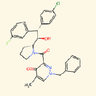 Cc1cn(Cc2ccccc2)nc(C(=O)N2CCC[C@@H]2[C@H](O)[C@@H](c2ccc(Cl)cc2)c2cccc(F)c2)c1=O